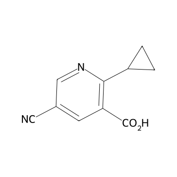 N#Cc1cnc(C2CC2)c(C(=O)O)c1